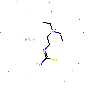 CCN(CC)CCN=C(N)S.Cl.Cl